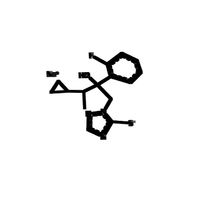 CC(C1CC1)C(O)(Cn1ncnc1[S-])c1ccccc1F.[Na+]